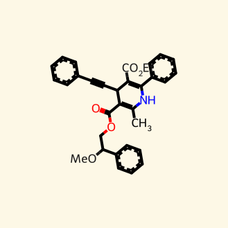 CCOC(=O)C1=C(c2ccccc2)NC(C)=C(C(=O)OCC(OC)c2ccccc2)C1C#Cc1ccccc1